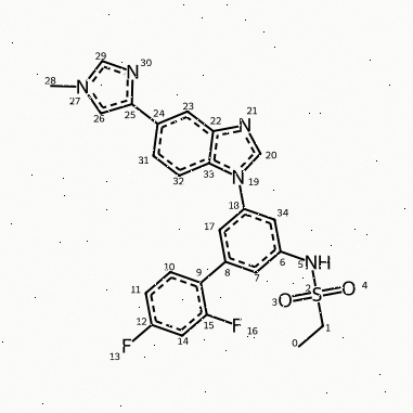 CCS(=O)(=O)Nc1cc(-c2ccc(F)cc2F)cc(-n2cnc3cc(-c4cn(C)cn4)ccc32)c1